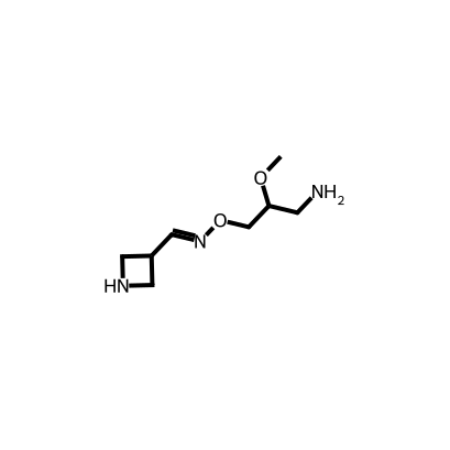 COC(CN)CON=CC1CNC1